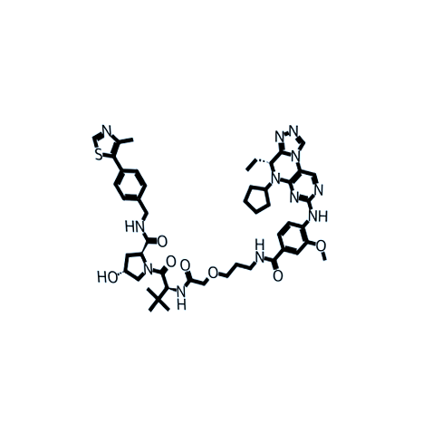 CC[C@@H]1c2nncn2-c2cnc(Nc3ccc(C(=O)NCCCOCC(=O)N[C@H](C(=O)N4C[C@H](O)C[C@H]4C(=O)NCc4ccc(-c5scnc5C)cc4)C(C)(C)C)cc3OC)nc2N1C1CCCC1